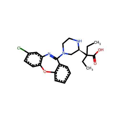 CCC(CC)(C(=O)O)[C@H]1CN(C2=Nc3cc(Cl)ccc3Oc3ccccc32)CCN1